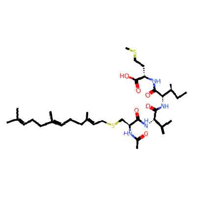 CC[C@H](C)[C@H](NC(=O)[C@@H](NC(=O)[C@H](CSC/C=C(\C)CC/C=C(\C)CCC=C(C)C)NC(C)=O)C(C)C)C(=O)N[C@@H](CCSC)C(=O)O